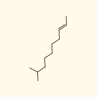 [CH2]C=CCCCCCC(C)C